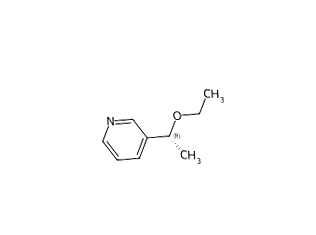 CCO[C@H](C)c1cccnc1